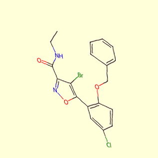 CCNC(=O)c1noc(-c2cc(Cl)ccc2OCc2ccccc2)c1Br